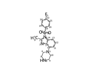 Cc1nc2c(N3CCNCC3)cccc2n1S(=O)(=O)c1ccc(F)cc1